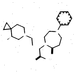 COC(=O)[C@H](CCN1CCC2(CC2)[C@H](O)C1)N1CCN(c2ccccc2)CCC1=O